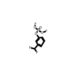 O=P(OF)(OF)Oc1cccc(C(F)F)c1